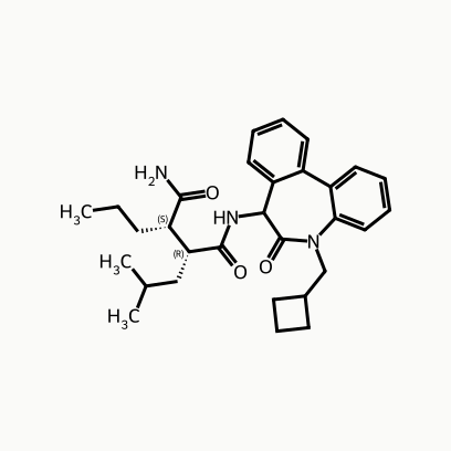 CCC[C@H](C(N)=O)[C@@H](CC(C)C)C(=O)NC1C(=O)N(CC2CCC2)c2ccccc2-c2ccccc21